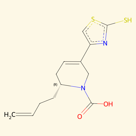 C=CCC[C@@H]1CC=C(c2csc(S)n2)CN1C(=O)O